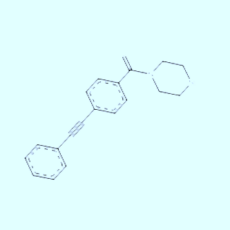 O=C(c1ccc(C#Cc2ccccc2)cc1)N1CCNCC1